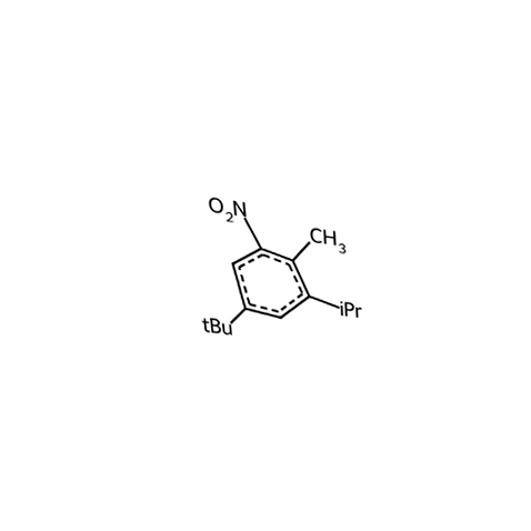 Cc1c(C(C)C)cc(C(C)(C)C)cc1[N+](=O)[O-]